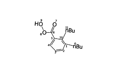 CCCCc1cccc(C(=O)OO)c1CCCC